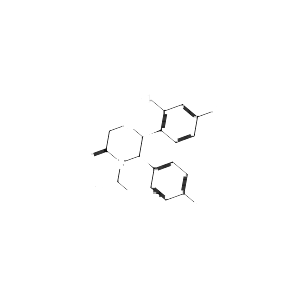 CCC[C@@H](C(=O)O)N1C(=O)CO[C@@H](c2ccc(Cl)cc2Cl)[C@H]1c1ccc(Cl)cc1